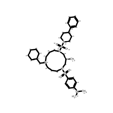 C[C@H]1CN(S(=O)(=O)c2ccc(N(C)C)cc2)CCCN(CC2CCCCC2)CCCN(S(=O)(=O)N2CCC(c3ccccc3)CC2)C1